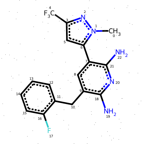 Cn1nc(C(F)(F)F)cc1-c1cc(Cc2ccccc2F)c(N)nc1N